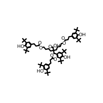 CC(C)(C)c1cc(CCC(=O)OCCCCC(CCCCOC(=O)CCc2cc(C(C)(C)C)c(O)c(C(C)(C)C)c2)(C(=O)O)C(OC(=O)CCc2cc(C(C)(C)C)c(O)c(C(C)(C)C)c2)c2cc(C(C)(C)C)c(O)c(C(C)(C)C)c2)cc(C(C)(C)C)c1O